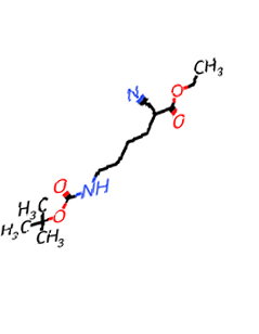 CCOC(=O)C(C#N)CCCCNC(=O)OC(C)(C)C